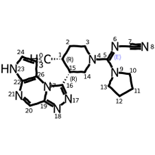 C[C@@H]1CCN(/C(=N/C#N)N2CCCC2)C[C@@H]1c1nnc2cnc3[nH]ccc3n12